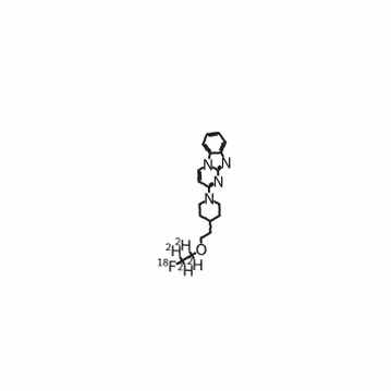 [2H]C([2H])([18F])C([2H])([2H])OCCC1CCN(c2ccn3c(n2)nc2ccccc23)CC1